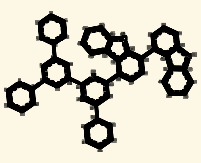 c1ccc(-c2cc(-c3ccccc3)cc(-c3nc(-c4ccccc4)cc(-c4ccc(-c5cccc6sc7ccccc7c56)c5oc6ccccc6c45)n3)c2)cc1